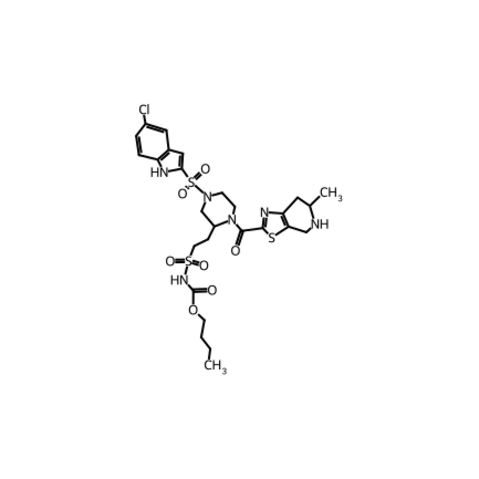 CCCCOC(=O)NS(=O)(=O)CCC1CN(S(=O)(=O)c2cc3cc(Cl)ccc3[nH]2)CCN1C(=O)c1nc2c(s1)CNC(C)C2